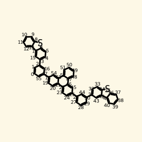 c1cc(-c2ccc3sc4ccccc4c3c2)cc(-c2ccc3c4ccc(-c5cccc(-c6ccc7sc8ccccc8c7c6)c5)cc4c4ccccc4c3c2)c1